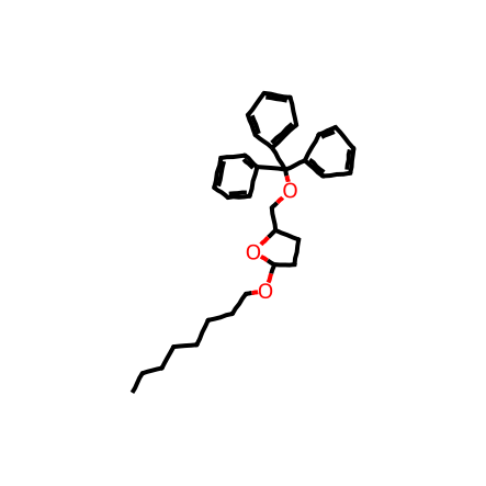 CCCCCCCCOC1CCC(COC(c2ccccc2)(c2ccccc2)c2ccccc2)O1